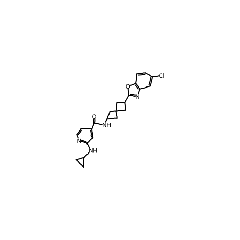 O=C(NC1CC2(C1)CC(c1nc3cc(Cl)ccc3o1)C2)c1ccnc(NC2CC2)c1